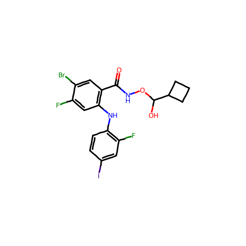 O=C(NOC(O)C1CCC1)c1cc(Br)c(F)cc1Nc1ccc(I)cc1F